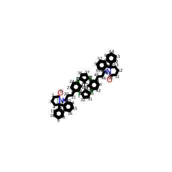 O=C1CCCC(c2ccccc2)(c2ccccc2)N1CCCc1ccc(F)[c]([Ti]([C]2=CC=CC2)([C]2=CC=CC2)[c]2c(F)ccc(CCCN3C(=O)CCCC3(c3ccccc3)c3ccccc3)c2F)c1F